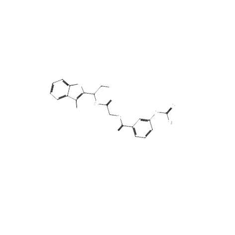 CCc1c(C(CC(=O)O)NC(=O)CNC(=O)c2cccc(NC(=N)N)c2)oc2ccccc12